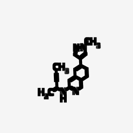 C=C(C#CC)Nc1cc2cc(-c3cnn(C)c3)ccc2cn1